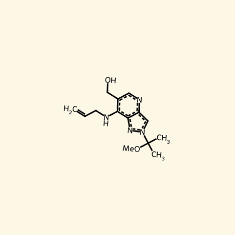 C=CCNc1c(CO)cnc2cn(C(C)(C)OC)nc12